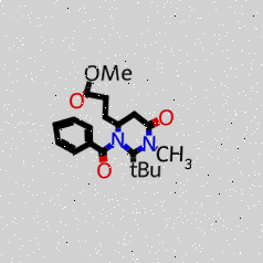 COC(=O)CCC1CC(=O)N(C)C(C(C)(C)C)N1C(=O)c1ccccc1